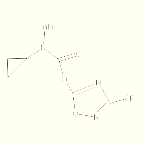 CCCN(C(=O)Oc1nc(C(F)(F)F)no1)C1CC1